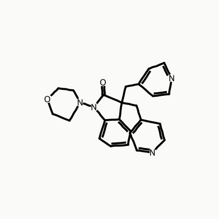 O=C1N(N2CCOCC2)c2ccccc2C1(Cc1ccncc1)Cc1ccncc1